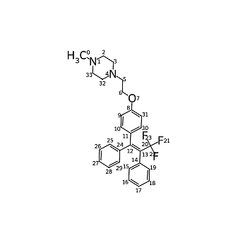 CN1CCN(CCOc2ccc(C(=C(c3ccccc3)C(F)(F)F)c3ccccc3)cc2)CC1